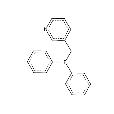 c1ccc(P(Cc2cccnc2)c2ccccc2)cc1